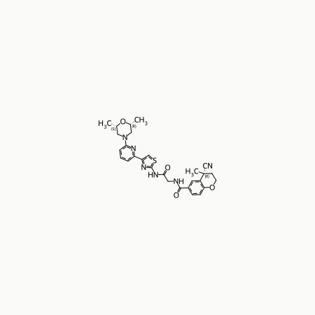 C[C@@H]1CN(c2cccc(-c3csc(NC(=O)CNC(=O)c4ccc5c(c4)[C@](C)(C#N)CCO5)n3)n2)C[C@H](C)O1